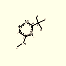 CSc1cnnc(C(C)(C)C)n1